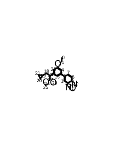 CCOc1cc(-c2ccc3nonc3c2)cc(C(CC2CC2)C(=O)OC)c1